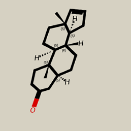 C[C@]12CCC(=O)C[C@@H]1CC[C@@H]1[C@@H]2CC[C@]2(C)C=CC[C@@H]12